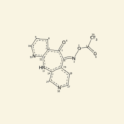 O=C(O/N=c1\c(=O)c2cccnc2[nH]c2cnccc12)C(F)(F)F